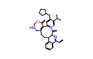 C=CC1=NC2C(=C)[n+]3cc(C(C)C)c(CC4CCCC4)cc3C3=C(CCC2c2ccccc21)CNCOC3=C